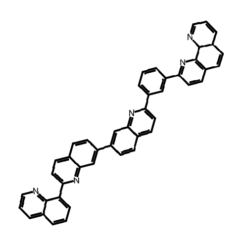 C1=CC2C=Cc3ccc(-c4cccc(-c5ccc6ccc(-c7ccc8ccc(-c9cccc%10cccnc9%10)nc8c7)cc6n5)c4)nc3C2N=C1